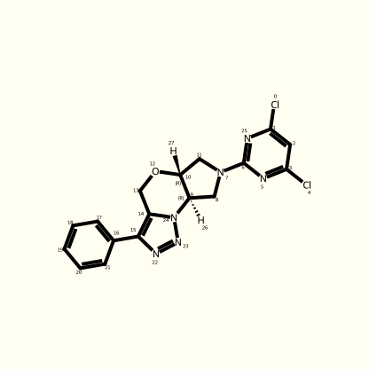 Clc1cc(Cl)nc(N2C[C@@H]3[C@@H](C2)OCc2c(-c4ccccc4)nnn23)n1